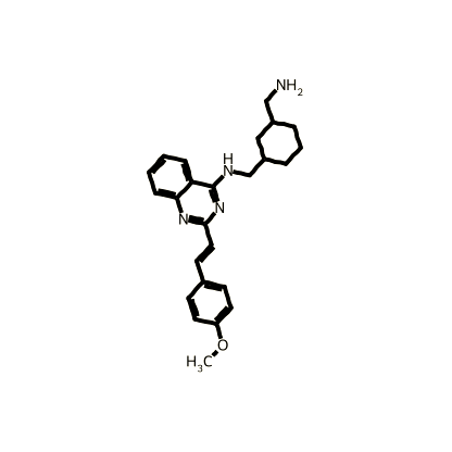 COc1ccc(C=Cc2nc(NCC3CCCC(CN)C3)c3ccccc3n2)cc1